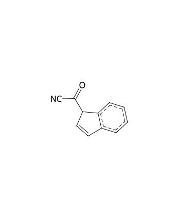 N#CC(=O)C1C=Cc2ccccc21